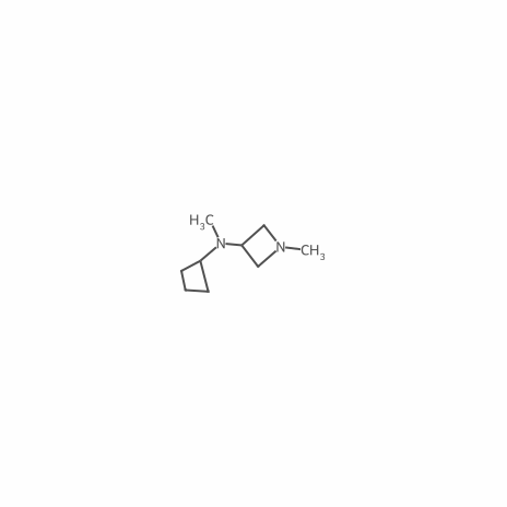 CN1CC(N(C)C2CCC2)C1